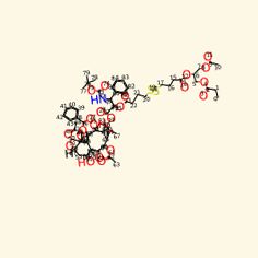 CCC(=O)OCC(COC(C)=O)OC(=O)CCCSSCCCC(=O)O[C@@H](C(=O)O[C@H]1C[C@@]2(O)[C@@H](OC(=O)c3ccccc3)[C@@H]3[C@]4(OC(C)=O)CO[C@@H]4C[C@H](O)[C@@]3(C)C(=O)[C@H](OC(C)=O)C(=C1C)C2(C)C)[C@@H](NC(=O)OC(C)(C)C)c1ccccc1